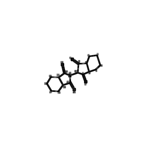 O=C1C2CCCCC2C(=O)C1N1C(=O)C2CCCCC2C1=O